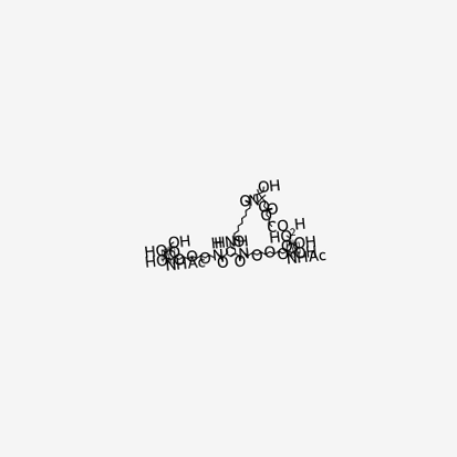 CC(=O)N[C@H]1C(OCCOCCOCCNC(=O)c2cc(NC(=O)CCCCCCCCC(=O)N3CC(C)(CO)C(C)(COC(=O)OCCC(=O)O)C3)cc(C(=O)NCCOCCOCCOC3O[C@H](CO)[C@H](O)[C@H](O)[C@H]3NC(C)=O)c2)O[C@H](CO)[C@H](O)[C@@H]1O